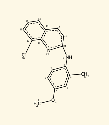 Cc1cc(OC(F)(F)F)ccc1Nc1ccc2cccc(Cl)c2n1